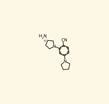 N#Cc1ccc(N2CCCC2)cc1N1CC[C@H](N)C1